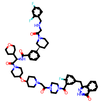 O=C(N[C@@H](C(=O)N1CCC(OC2CCN(CC(=O)N3CCN(C(=O)c4cc(Cc5n[nH]c(=O)c6ccccc56)ccc4F)CC3)CC2)CC1)C1CCOCC1)c1cccc([C@@H]2CCCN(C(=O)CNCc3ccc(F)cc3F)C2)c1